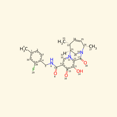 Cc1ccc(CNC(=O)c2cn3c(c(O)c2=O)C(=O)N2C[C@@H]3[C@H](C)C=C[C@@H]2C)c(F)c1